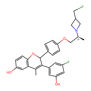 CC1=C(c2cc(O)cc(F)c2)C(c2ccc(OC[C@H](C)N3CC(CF)C3)cc2)Oc2ccc(O)cc21